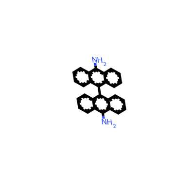 Nc1c2ccccc2c(-c2c3ccccc3c(N)c3ccccc23)c2ccccc12